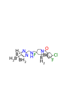 BC(B)(B)c1cnc(CNCC2(F)CCN(C(=O)c3ccc(F)c(Cl)c3)C(B)(B)C2)nc1